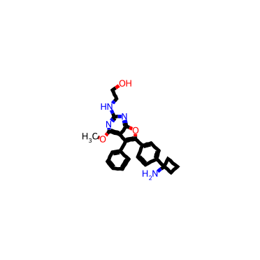 COc1nc(NCCO)nc2oc(-c3ccc(C4(N)CCC4)cc3)c(-c3ccccc3)c12